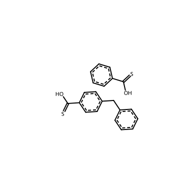 OC(=S)c1ccc(Cc2ccccc2)cc1.OC(=S)c1ccccc1